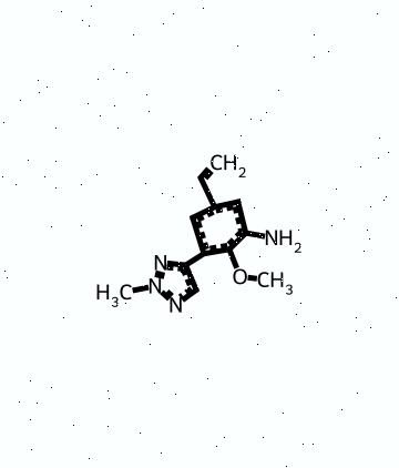 C=Cc1cc(N)c(OC)c(-c2cnn(C)n2)c1